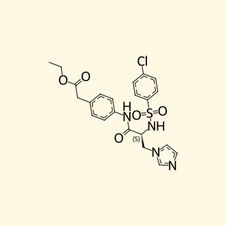 CCOC(=O)Cc1ccc(NC(=O)[C@H](Cn2ccnc2)NS(=O)(=O)c2ccc(Cl)cc2)cc1